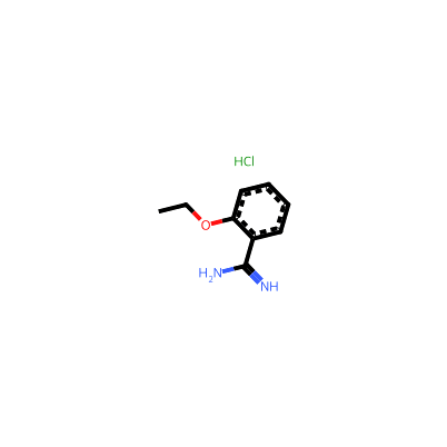 CCOc1ccccc1C(=N)N.Cl